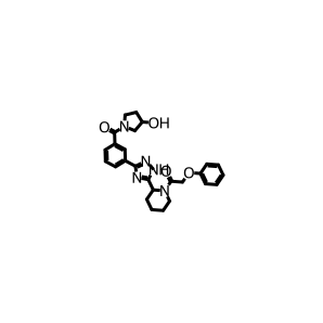 O=C(c1cccc(-c2n[nH]c(C3CCCCN3C(=O)COc3ccccc3)n2)c1)N1CCC(O)C1